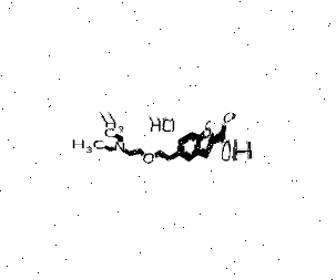 CCN(CC)CCOCCc1ccc2sc(C(=O)O)cc2c1.Cl